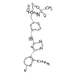 COc1cc(F)ccc1-c1ncnc(Nc2cccc(C[SH](C)(O)=NS(C)(=O)=O)c2)n1